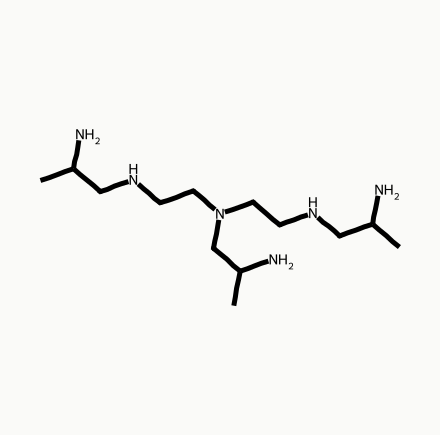 CC(N)CNCCN(CCNCC(C)N)CC(C)N